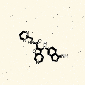 N=C1CCc2cc(Nc3c(C(=O)NCc4ncccn4)oc4cnccc34)ccc21